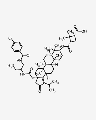 CC(C)C1=C2[C@H]3CC[C@@H]4[C@@]5(C)CC[C@H](OC(=O)[C@H]6C[C@@H](C(=O)O)C6(C)C)C(C)(C)[C@@H]5CC[C@@]4(C)[C@]3(C)CC[C@@]2(CC(=O)NC(CN)CNC(=O)c2ccc(Cl)cc2)CC1=O